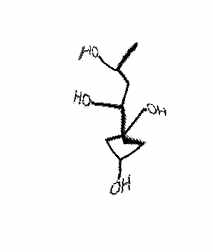 CC(O)CC(O)C1(O)CC(O)C1